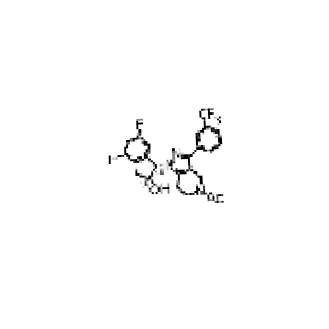 CC(=O)N1CCc2c(c(-c3cccc(C(F)(F)F)c3)nn2[C@H]2c3cc(F)cc(F)c3C[C@@H]2O)C1